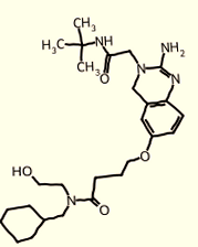 CC(C)(C)NC(=O)CN1Cc2cc(OCCCC(=O)N(CCO)CC3CCCCC3)ccc2N=C1N